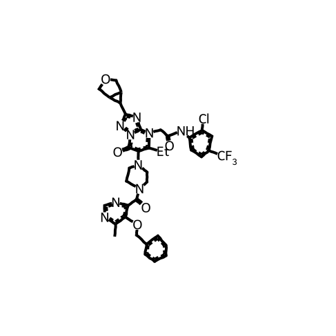 CCc1c(N2CCN(C(=O)c3ncnc(C)c3OCc3ccccc3)CC2)c(=O)n2nc(C3C4COCC43)nc2n1CC(=O)Nc1ccc(C(F)(F)F)cc1Cl